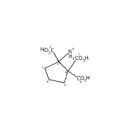 NC1(C(=O)O)CCCC1(C(=O)O)C(=O)O